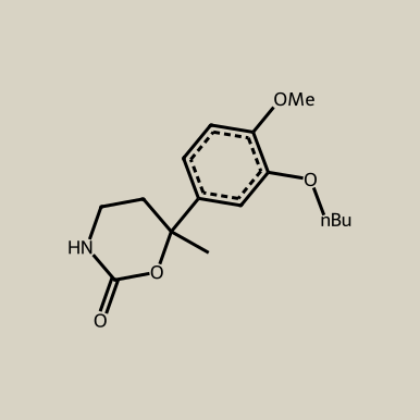 CCCCOc1cc(C2(C)CCNC(=O)O2)ccc1OC